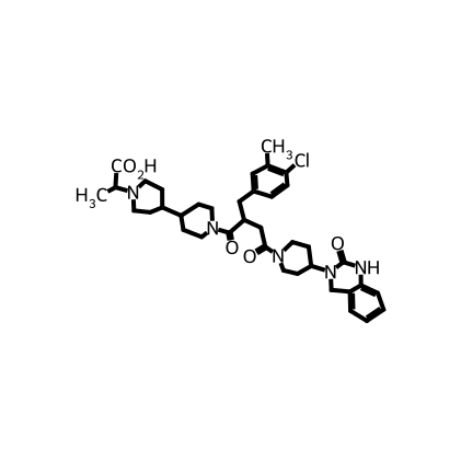 Cc1cc(CC(CC(=O)N2CCC(N3Cc4ccccc4NC3=O)CC2)C(=O)N2CCC(C3CCN(C(C)C(=O)O)CC3)CC2)ccc1Cl